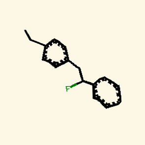 CCc1ccc(CC(F)c2ccccc2)cc1